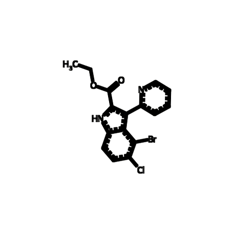 CCOC(=O)c1[nH]c2ccc(Cl)c(Br)c2c1-c1ccccn1